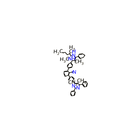 C=CCCC(=C)C(NC)N/C(C1=CCCC=C1)=C(/C)Cc1ccc(-c2cccc(C(/C=C\Cc3nc(-c4ccccc4)nc(-c4ccccc4)c3C)=C/C)c2C#N)cc1